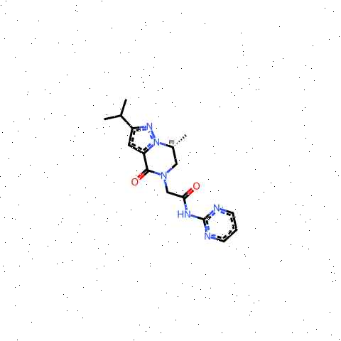 CC(C)c1cc2n(n1)[C@H](C)CN(CC(=O)Nc1ncccn1)C2=O